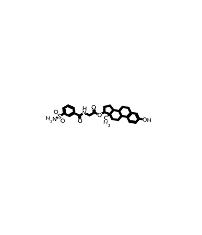 CC12CCC3c4ccc(O)cc4CCC3C1CCC2OC(=O)CNC(=O)c1cccc(S(N)(=O)=O)c1